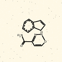 C1=Cc2ccccc2C1.NC(=O)C1=NNOC=C1